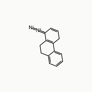 [N-]=[N+]=C1C=CCC2=C1CCc1ccccc12